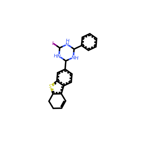 IC1NC(c2ccccc2)NC(c2ccc3c4c(sc3c2)CCC=C4)N1